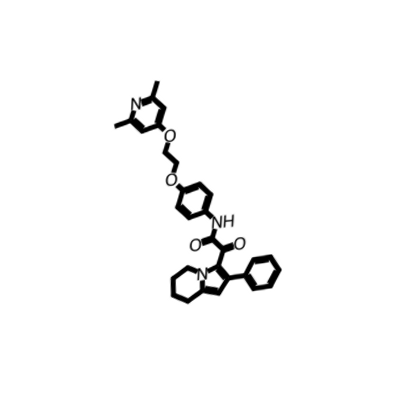 Cc1cc(OCCOc2ccc(NC(=O)C(=O)c3c(-c4ccccc4)cc4n3CCCC4)cc2)cc(C)n1